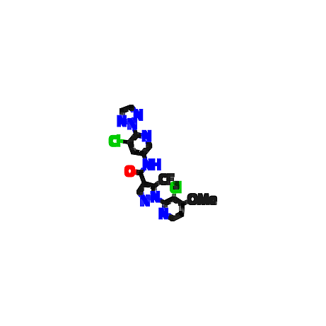 COc1ccnc(-n2ncc(C(=O)Nc3cnc(-n4nccn4)c(Cl)c3)c2C(F)(F)F)c1Cl